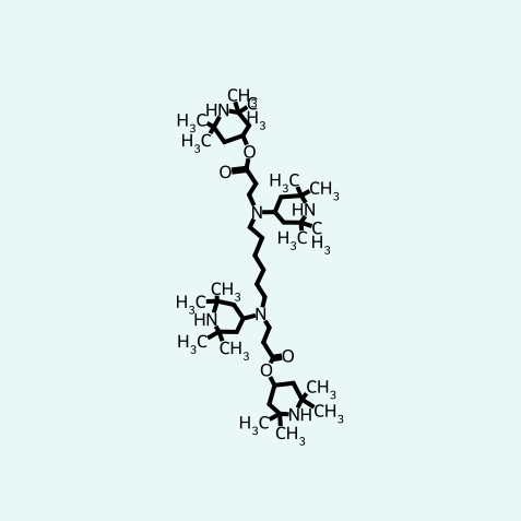 CC1(C)CC(OC(=O)CCN(CCCCCCN(CCC(=O)OC2CC(C)(C)NC(C)(C)C2)C2CC(C)(C)NC(C)(C)C2)C2CC(C)(C)NC(C)(C)C2)CC(C)(C)N1